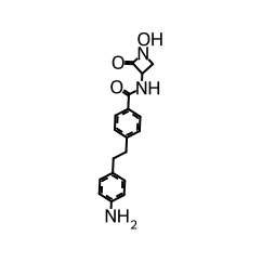 Nc1ccc(CCc2ccc(C(=O)NC3CN(O)C3=O)cc2)cc1